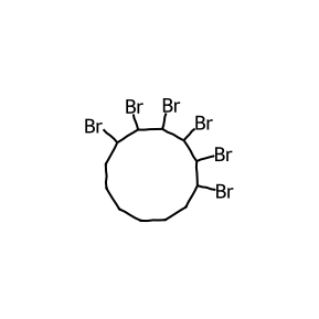 BrC1CCCCCCC(Br)C(Br)C(Br)C(Br)C1Br